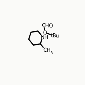 CC(C)(C)OC=O.CC1CCCCN1